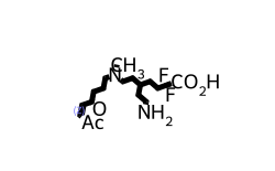 CC(=O)/C=C\C(=O)CCCN(C)CCC(CCN)CCC(F)(F)C(=O)O